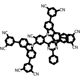 N#Cc1cc(C#N)cc(-c2ccc3c(c2)c2cc(-c4cc(C#N)cc(C#N)c4)ccc2n3-c2cc(-c3cc(-c4ccccc4)nc(-c4ccccc4)n3)c(-n3c4ccc(-c5cc(C#N)cc(C#N)c5)cc4c4cc(-c5cc(C#N)cc(C#N)c5)ccc43)cc2C#N)c1